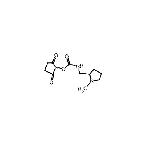 CN1CCCC1CNC(=O)ON1C(=O)CCC1=O